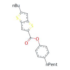 CCCCCc1ccc(OC(=O)c2cc3sc(CCCC)cc3s2)cc1